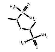 CN(SN(C)P(N)(N)=O)P(N)(N)=O